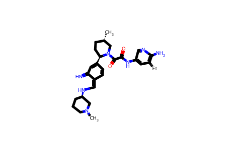 CCc1cc(NC(=O)C(=O)N2C[C@@H](C)CC[C@@H]2C2=CC(=N)/C(=C\N[C@@H]3CCCN(C)C3)C=C2)cnc1N